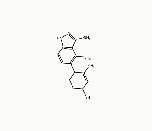 CC1=CC(S)CCC1c1ccc2[nH]nc(N)c2c1C